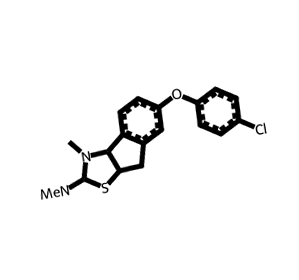 CNC1SC2Cc3cc(Oc4ccc(Cl)cc4)ccc3C2N1C